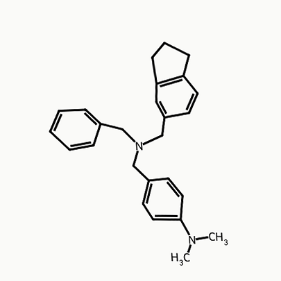 CN(C)c1ccc(CN(Cc2ccccc2)Cc2ccc3c(c2)CCC3)cc1